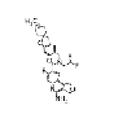 CN1CCC2(CC1)Cc1cc(CN(CC(F)F)C(=O)c3cc4c5c(c(N)nc4cc3F)COC5)ccc1O2